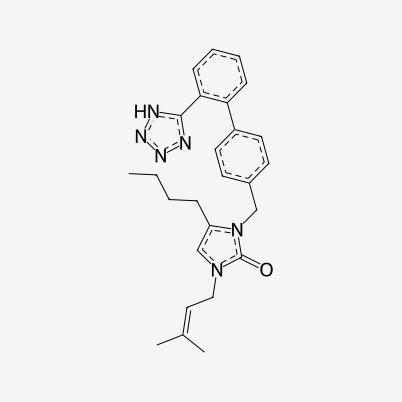 CCCCc1cn(CC=C(C)C)c(=O)n1Cc1ccc(-c2ccccc2-c2nnn[nH]2)cc1